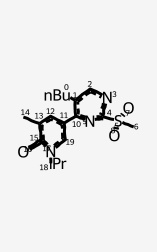 CCCCc1cnc(S(C)(=O)=O)nc1-c1cc(C)c(=O)n(C(C)C)c1